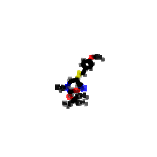 COc1ccc(CSC(C#N)CN(C)C(=O)OC(C)(C)C)cc1